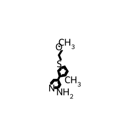 COCCCSc1ccc(C)c(-c2ccnc(N)c2)c1